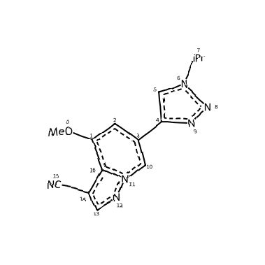 COc1cc(-c2cn(C(C)C)nn2)cn2ncc(C#N)c12